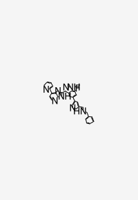 Fc1cc(-c2cncc(CNCc3ccccc3)c2)cc2c(-c3nc4c(-c5ccccn5)ccnc4[nH]3)n[nH]c12